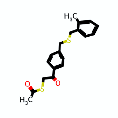 CC(=O)SCC(=O)c1ccc(CSCc2ccccc2C)cc1